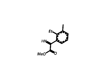 CCc1c(C)cccc1C(=N)C(=O)OC